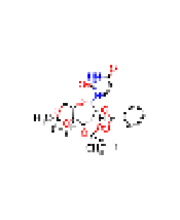 CC1(C)OCC2OC(n3ccc(=O)[nH]c3=O)C(OC(=O)c3ccccc3)[C@H]3OC(C)(C)OC3[C@@H]2O1